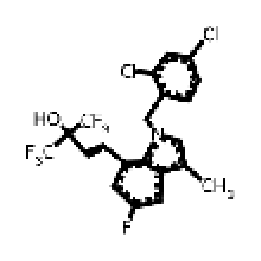 Cc1cn(Cc2ccc(Cl)cc2Cl)c2c(C=CC(O)(C(F)(F)F)C(F)(F)F)cc(F)cc12